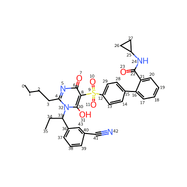 CCCCc1nc(=O)c(S(=O)(=O)c2ccc(-c3ccccc3C(=O)NC3CC3)cc2)c(O)n1C(CC)c1cccc(C#N)c1